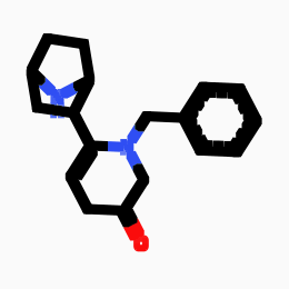 O=C1CC=C(C2CC3CCC2N3)N(Cc2ccccc2)C1